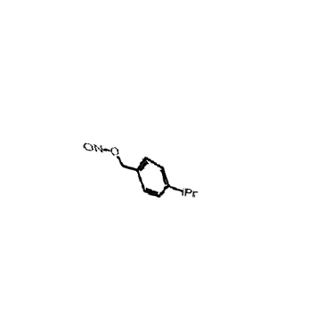 CC(C)c1ccc(CON=O)cc1